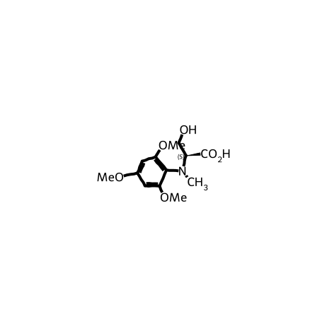 COc1cc(OC)c(N(C)[C@@H](CO)C(=O)O)c(OC)c1